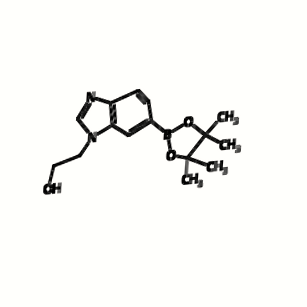 CC1(C)OB(c2ccc3ncn(CCO)c3c2)OC1(C)C